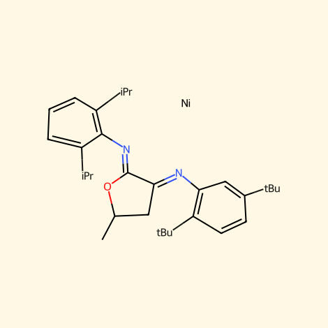 CC1CC(=Nc2cc(C(C)(C)C)ccc2C(C)(C)C)C(=Nc2c(C(C)C)cccc2C(C)C)O1.[Ni]